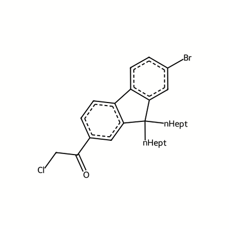 CCCCCCCC1(CCCCCCC)c2cc(Br)ccc2-c2ccc(C(=O)CCl)cc21